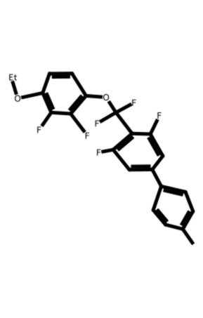 CCOc1ccc(OC(F)(F)c2c(F)cc(-c3ccc(C)cc3)cc2F)c(F)c1F